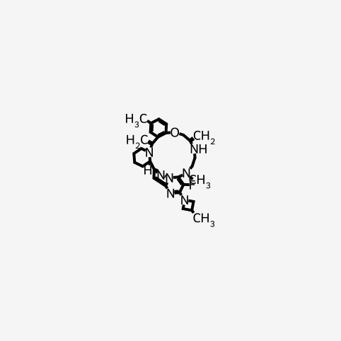 C=C1COc2ccc(C)cc2C(=C)N2CCCC[C@H]2c2cc3nc(N4CC(C)C4)c(F)c(n3n2)N(C)CCN1